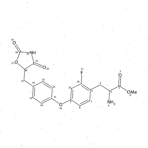 COC(=O)C(N)Cc1ccc(Oc2ccc(CC3OC(=O)NC3=O)cc2)cc1F